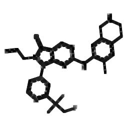 C=CCn1c(=O)c2cnc(Nc3cc4c(cc3C)CCNC4)nc2n1-c1ccnc(C(C)(C)CF)c1